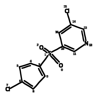 O=S(=O)(c1ccc(Cl)cc1)c1cncc(Cl)c1